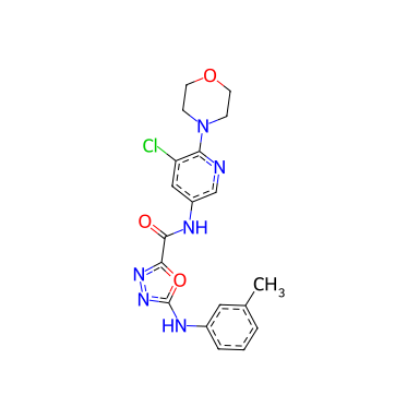 Cc1cccc(Nc2nnc(C(=O)Nc3cnc(N4CCOCC4)c(Cl)c3)o2)c1